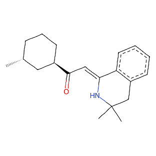 C[C@@H]1CCC[C@@H](C(=O)/C=C2\NC(C)(C)Cc3ccccc32)C1